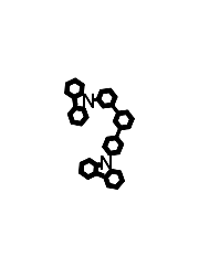 c1cc(-c2ccc(-n3c4ccccc4c4ccccc43)cc2)cc(-c2cccc(-n3c4ccccc4c4ccccc43)c2)c1